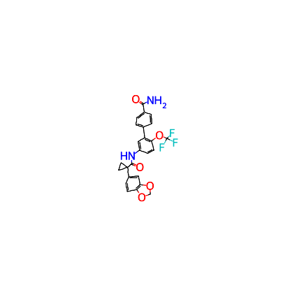 NC(=O)c1ccc(-c2cc(NC(=O)C3(c4ccc5c(c4)OCO5)CC3)ccc2OC(F)(F)F)cc1